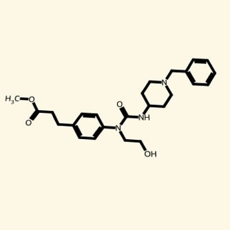 COC(=O)CCc1ccc(N(CCO)C(=O)NC2CCN(Cc3ccccc3)CC2)cc1